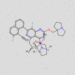 C#Cc1c(F)ccc2cccc(-c3nc4c5c(nc(OCC67CCCN6CCC7)nc5c3F)N3C[C@H]5CC[C@@H]([C@@H]3[C@@H](C)C4)N5C(=O)OC(C)(C)C)c12